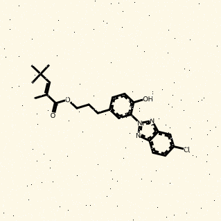 CC(=CC(C)(C)C)C(=O)OCCCc1ccc(O)c(-n2nc3ccc(Cl)cc3n2)c1